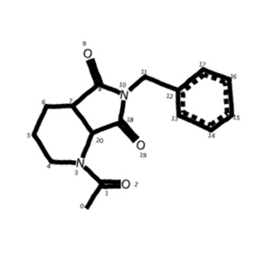 CC(=O)N1CCCC2C(=O)N(Cc3ccccc3)C(=O)C21